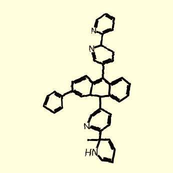 CC1(c2ccc(C3c4ccccc4C(C4=CCC(c5ccccn5)N=C4)=C4C=CC(c5ccccc5)=CC43)cn2)C=CC=CN1